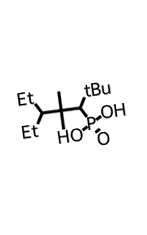 CCC(CC)C(C)(C)C(C(C)(C)C)P(=O)(O)O